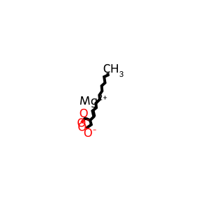 CCCCCCCCCCC=CC(CC(=O)[O-])C(=O)[O-].[Mg+2]